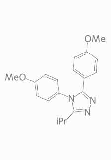 COc1ccc(-c2nnc(C(C)C)n2-c2ccc(OC)cc2)cc1